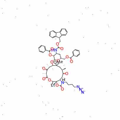 CC[C@H]1OC(=O)[C@H](C)C(=O)[C@H](C)[C@@H](OC2OC(COC(=O)c3ccccc3)CC(NC(=O)OCC3c4ccccc4-c4ccccc43)C2OC(=O)c2ccccc2)[C@@](C)(OC)C[C@@H](C)C(=O)[C@H](C)[C@H]2N(CCCCN=[N+]=[N-])C(=O)O[C@]12C